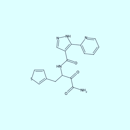 NC(=O)C(=O)C(Cc1ccsc1)NC(=O)c1cn[nH]c1-c1ccccn1